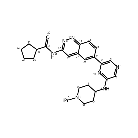 CC(C)N1CCC(Nc2cncc(-c3ccc4nnc(NC(=O)C5CCCC5)cc4c3)n2)CC1